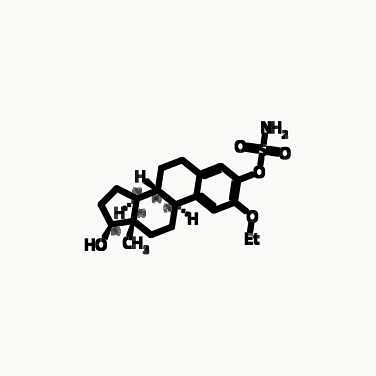 CCOc1cc2c(cc1OS(N)(=O)=O)CC[C@@H]1[C@@H]2CC[C@]2(C)[C@@H](O)CC[C@@H]12